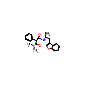 BC(Cc1coc2ccccc12)NC(=O)C(C(=O)N(C)C)c1ccccc1